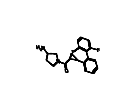 NC1CCN(C(=O)C2CC2c2ccccc2-c2c(F)cccc2F)C1